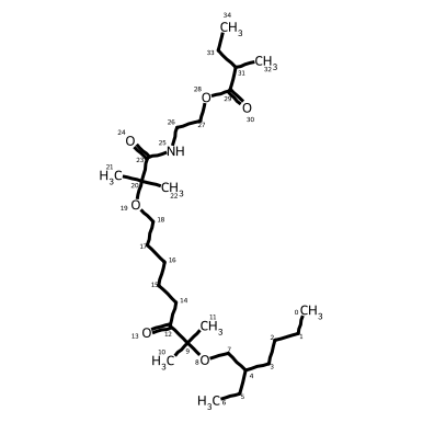 CCCCC(CC)COC(C)(C)C(=O)CCCCCOC(C)(C)C(=O)NCCOC(=O)C(C)CC